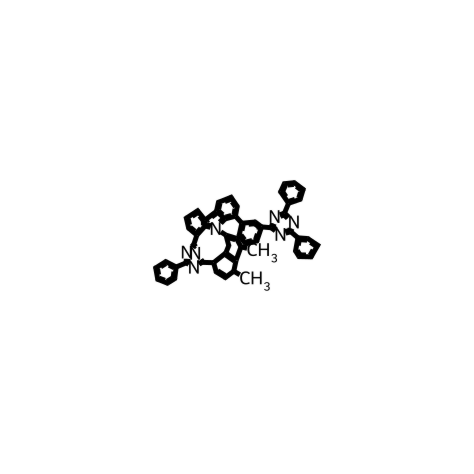 CC1C=CC2C3=C1C(C)C=C(C3)n1c3c(-c4cccc(-c5nc(-c6ccccc6)nc(-c6ccccc6)n5)c4)cccc3c3cccc(c31)-c1nc(-c3ccccc3)nc2n1